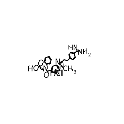 Cl.Cn1c(CCc2ccc(C(=N)N)cc2)nc2cc(C(=O)N(CC(=O)O)c3ccccc3)cnc21